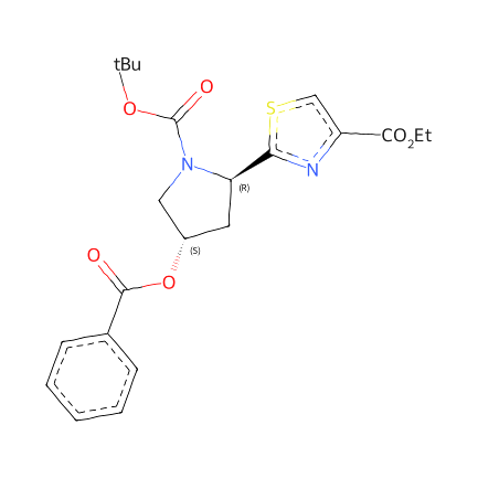 CCOC(=O)c1csc([C@H]2C[C@H](OC(=O)c3ccccc3)CN2C(=O)OC(C)(C)C)n1